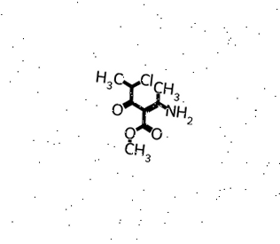 COC(=O)C(C(=O)C(C)Cl)=C(C)N